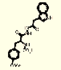 COc1ccc(CC(NC(=O)O)C(=O)NNC(=O)Cc2c[nH]c3ccccc23)cc1